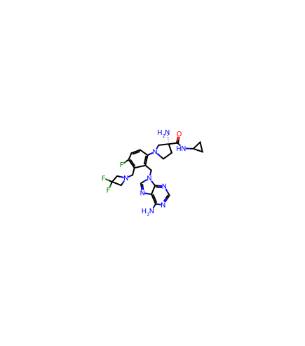 Nc1ncnc2c1ncn2Cc1c(N2CC[C@](N)(C(=O)NC3CC3)C2)ccc(F)c1CN1CC(F)(F)C1